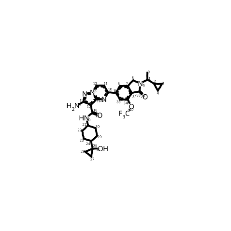 CC(C1CC1)N1Cc2cc(-c3ccn4nc(N)c(C(=O)NC5CCC(C6(O)CC6)CC5)c4n3)cc(OC(F)(F)F)c2C1=O